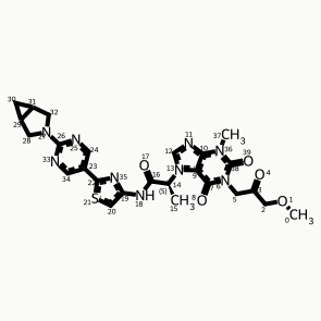 COCC(=O)Cn1c(=O)c2c(ncn2[C@@H](C)C(=O)Nc2csc(-c3cnc(N4CC5CC5C4)nc3)n2)n(C)c1=O